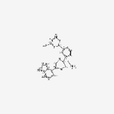 NCC1(c2cccc(-c3cncc(F)c3)c2)CCN(c2ncnc3[nH]cnc23)CC1